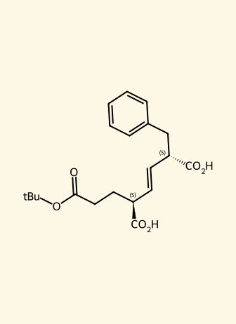 CC(C)(C)OC(=O)CC[C@@H](C=C[C@H](Cc1ccccc1)C(=O)O)C(=O)O